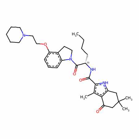 CCCC[C@H](NC(=O)c1[nH]c2c(c1C)C(=O)CC(C)(C)C2)C(=O)N1CCc2c(OCCN3CCCCC3)cccc21